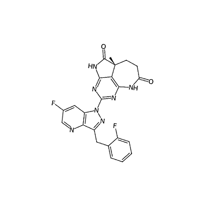 C[C@@]12CCC(=O)Nc3nc(-n4nc(Cc5ccccc5F)c5ncc(F)cc54)nc(c31)NC2=O